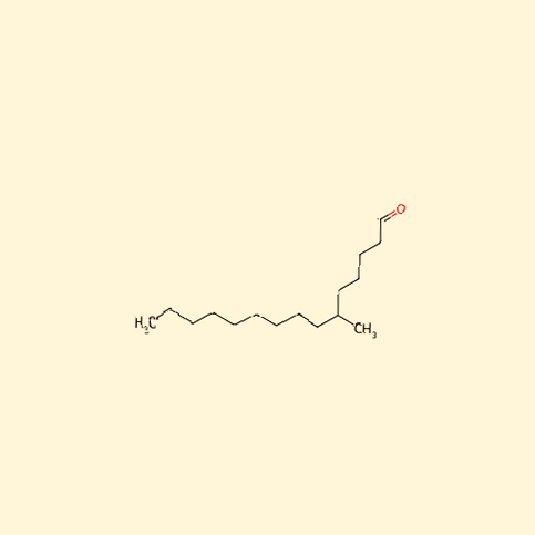 CCCCCCCCCC(C)CCCC[C]=O